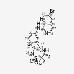 C=C1N[C@](C)(c2cc(Nc3nccc4cc(Br)cnc34)ccc2F)CN(C)S(=O)(=O)C1(C)C